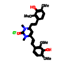 COc1ccc(C=Cc2cc(C=Cc3ccc(OC)c(O)c3OC)[n+](C)c(=O)n2C)c(OC)c1O.[Cl-]